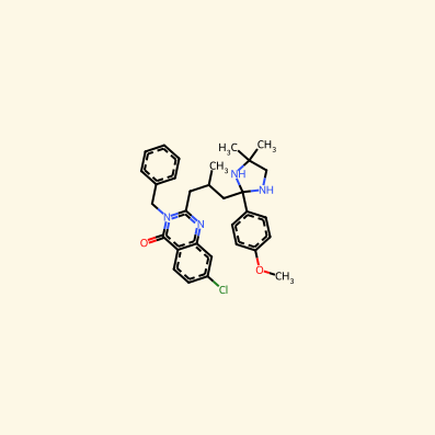 COc1ccc(C2(CC(C)Cc3nc4cc(Cl)ccc4c(=O)n3Cc3ccccc3)NCC(C)(C)N2)cc1